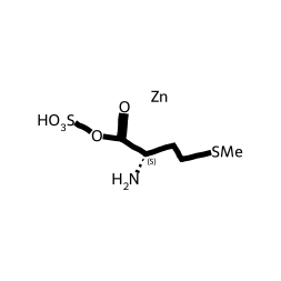 CSCC[C@H](N)C(=O)OS(=O)(=O)O.[Zn]